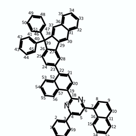 c1ccc(-c2cc(-c3cccc4ccccc34)nc(-c3ccc(-c4ccc5c(c4)-c4cc6ccccc6cc4C5(c4ccccc4)c4ccccc4)c4ccccc34)n2)cc1